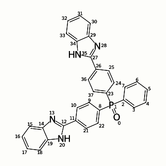 O=P(c1ccccc1)(c1ccc(-c2nc3ccccc3[nH]2)cc1)c1ccc(-c2nc3ccccc3[nH]2)cc1